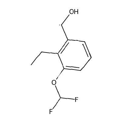 CCc1c([CH]O)cccc1OC(F)F